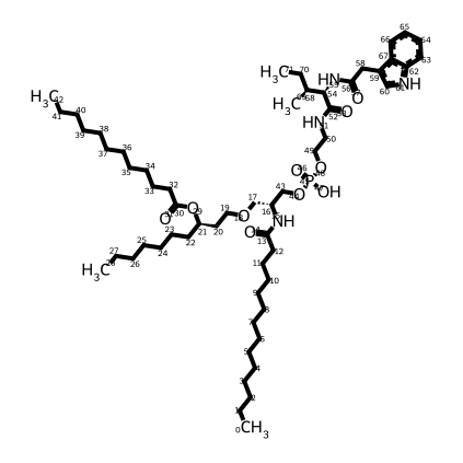 CCCCCCCCCCCCCC(=O)N[C@H](COCC[C@@H](CCCCCCC)OC(=O)CCCCCCCCCCC)COP(=O)(O)OCCNC(=O)[C@@H](NC(=O)Cc1c[nH]c2ccccc12)[C@@H](C)CC